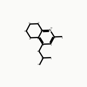 Cc1cc(CC(C)C)c2c(n1)CCCC2